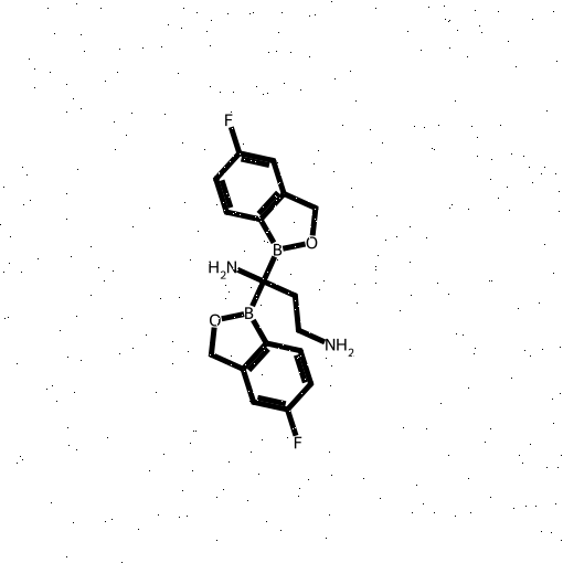 NCCC(N)(B1OCc2cc(F)ccc21)B1OCc2cc(F)ccc21